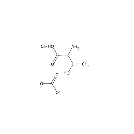 CC(O)C(N)C(=O)O.O=C([O-])[O-].[Ca+2]